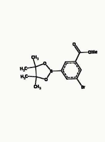 COC(=O)c1cc(Br)cc(B2OC(C)(C)C(C)(C)O2)c1